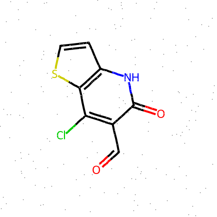 O=Cc1c(Cl)c2sccc2[nH]c1=O